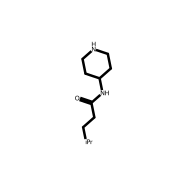 CC(C)CCC(=O)NC1CCNCC1